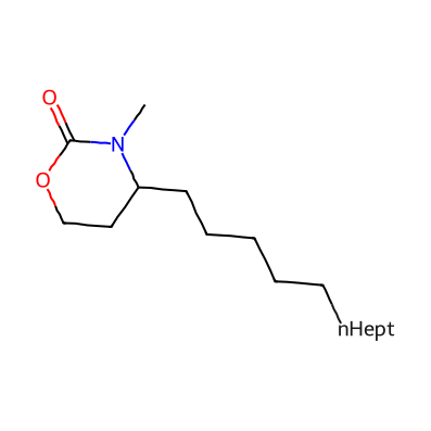 CCCCCCCCCCCCC1CCOC(=O)N1C